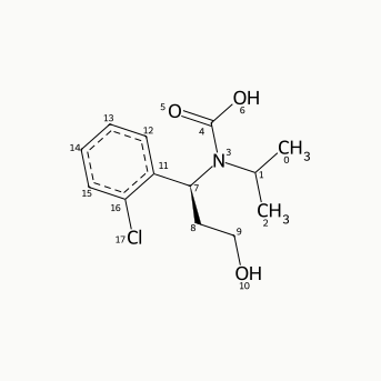 CC(C)N(C(=O)O)[C@@H](CCO)c1ccccc1Cl